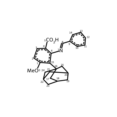 COc1ccc(C(=O)O)c(N=Cc2ccccc2)c1C12CC3CC(CC(C3)C1)C2